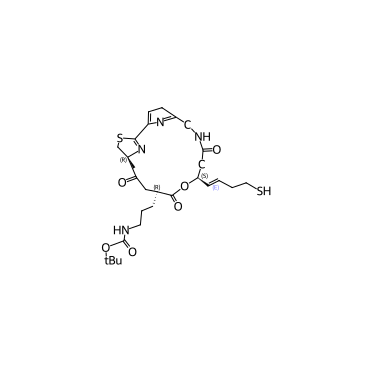 CC(C)(C)OC(=O)NCCC[C@@H]1CC(=O)[C@]2(C)CSC(=N2)C2=CCC(=N2)CNC(=O)C[C@@H](/C=C/CCS)OC1=O